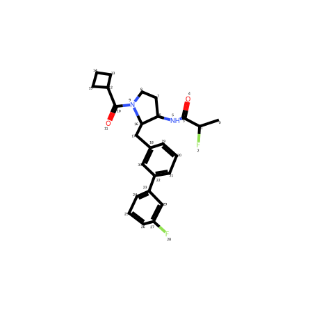 CC(F)C(=O)NC1CCN(C(=O)C2CCC2)C1Cc1cccc(-c2cccc(F)c2)c1